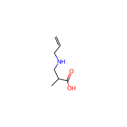 C=CCNCC(C)C(=O)O